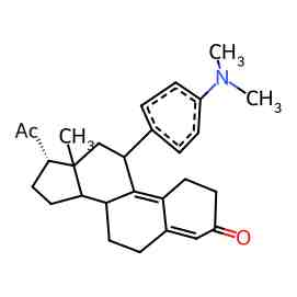 CC(=O)[C@H]1CCC2C3CCC4=CC(=O)CCC4=C3C(c3ccc(N(C)C)cc3)CC21C